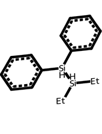 CC[SiH](CC)[SiH](c1ccccc1)c1ccccc1